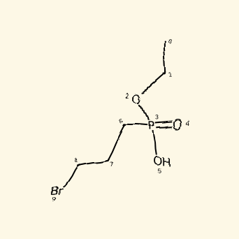 CCOP(=O)(O)CCCBr